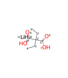 CCC(CC)(C(=O)O)C(=O)O.[LiH]